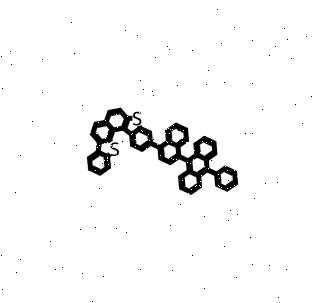 c1ccc(-c2c3ccccc3c(-c3ccc(-c4ccc5c(c4)sc4ccc6ccc7c8ccccc8sc7c6c45)c4ccccc34)c3ccccc23)cc1